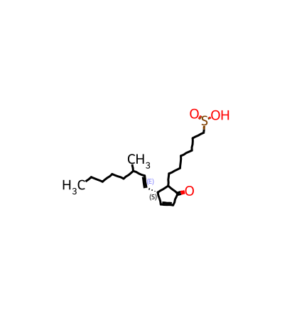 CCCCCC(C)/C=C/[C@H]1C=CC(=O)C1CCCCCCS(=O)O